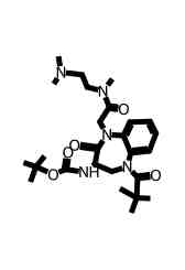 CN(C)CCN(C)C(=O)CN1C(=O)C(NC(=O)OC(C)(C)C)CN(C(=O)C(C)(C)C)c2ccccc21